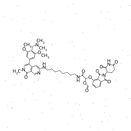 COc1cc(-c2cn(C)c(=O)c3cnc(NCCCCCCCCNC(=O)C(OC=O)Oc4cccc5c4C(=O)N(C4CCC(=O)NC4=O)C5=O)cc23)cc(OC)c1CN(C)C